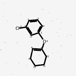 Clc1cccc(OC2=CCCCC2)c1